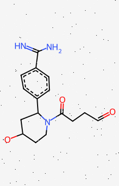 N=C(N)c1ccc(C2CC([O])CCN2C(=O)CCC=O)cc1